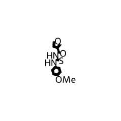 COc1ccc(NC(=S)NC(=O)c2ccoc2)cc1